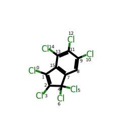 ClC1=C(Cl)C(Cl)(Cl)c2cc(Cl)c(Cl)c(Cl)c21